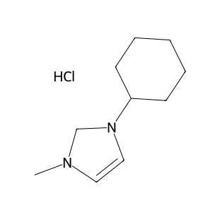 CN1C=CN(C2CCCCC2)C1.Cl